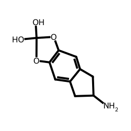 NC1Cc2cc3c(cc2C1)OC(O)(O)O3